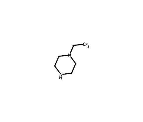 FC(F)(F)[CH]N1CCNCC1